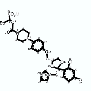 CCC(OC(=O)N1CCN(c2ccc(OC[C@@H]3CO[C@@](Cn4ccnc4)(c4ccc(Cl)cc4Cl)O3)cc2)CC1)C(=O)O